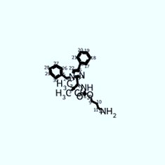 CC(C)(C)[C@@H](NC(=O)OCCCN)c1nc(-c2ccccc2)cn1Cc1ccccc1